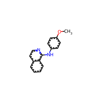 COc1ccc(Nc2nccc3ccccc23)cc1